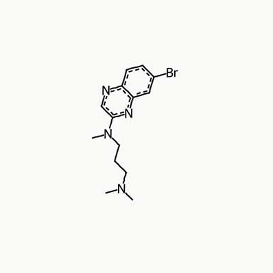 CN(C)CCCN(C)c1cnc2ccc(Br)cc2n1